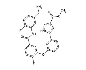 COC(=O)c1c[nH]c(-c2cc(Oc3cc(C(=O)Nc4cc(CN)ccc4F)ccc3F)ccn2)c1